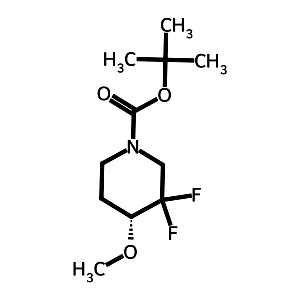 CO[C@@H]1CCN(C(=O)OC(C)(C)C)CC1(F)F